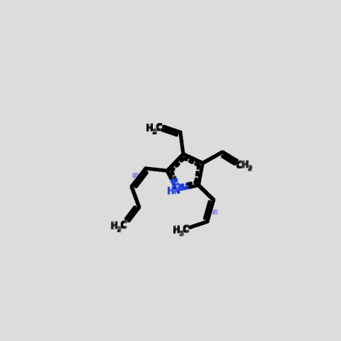 C=C/C=C\c1[nH]c(/C=C\C)c(C=C)c1C=C